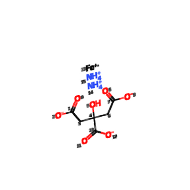 O=C([O-])CC(O)(CC(=O)[O-])C(=O)[O-].[Fe+].[NH4+].[NH4+]